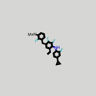 C=Cc1cc(Cc2cccc(NC)c2F)c(F)c(F)c1Nc1ccc(C2CC2)cc1F